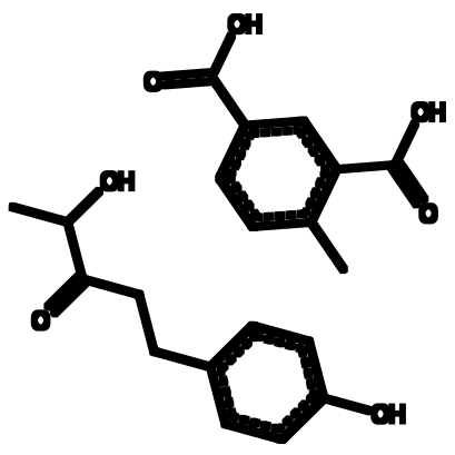 CC(O)C(=O)CCc1ccc(O)cc1.Cc1ccc(C(=O)O)cc1C(=O)O